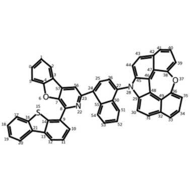 c1ccc2c(c1)oc1c(-c3cccc4c3sc3ccccc34)nc(-c3ccc(-n4c5ccc6cccc7oc8cccc9ccc4c(c98)c5c67)c4ccccc34)cc12